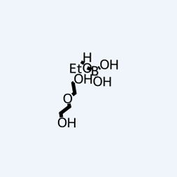 CCC.OB(O)O.OCCOCCO